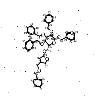 C1=C(COCc2ccccc2)CO[C@H]1OC[C@H]1O[C@@H](OCc2ccccc2)[C@H](OCc2ccccc2)[C@@H](OCc2ccccc2)[C@@H]1OCc1ccccc1